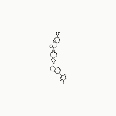 COc1ccc(CC(=O)N2CCC3(CC2)CN(C2CCc4cc(-c5ncc(C)s5)ccc42)C3)nc1